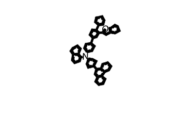 c1ccc(-c2ccc(-c3ccc(N(c4ccc(-c5cc6ccccc6c6ccccc56)cc4)c4cccc5ccccc45)cc3)cc2-c2cc3ccccc3o2)cc1